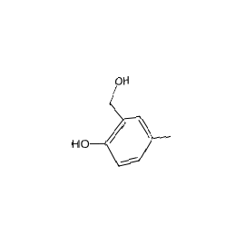 Cc1ccc(O)c(CO)c1